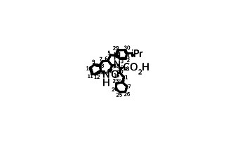 CC(C)c1ccc(CC2Cc3ccccc3NC(=O)C2N[C@@H](CCC2CCCCC2)C(=O)O)cc1